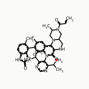 C=CC(=O)N1CC2CNc3c(c4cc(F)c(-c5c(C)ccc6[nH]c(=O)oc56)c(Cl)c4n(-c4c(C(C)C)ncnc4C(C)C)c3=O)N2CC1C